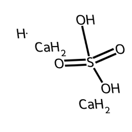 O=S(=O)(O)O.[CaH2].[CaH2].[H]